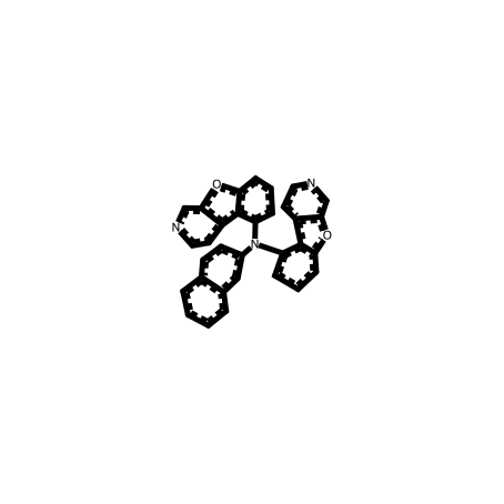 c1ccc2cc(N(c3cccc4oc5cnccc5c34)c3cccc4oc5cnccc5c34)ccc2c1